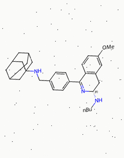 CCCCN[C@H]1Cc2cc(OC)ccc2C(c2ccc(CNC34CC5CC(CC(C5)C3)C4)cc2)=N1